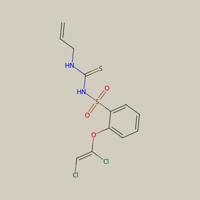 C=CCNC(=S)NS(=O)(=O)c1ccccc1OC(Cl)=CCl